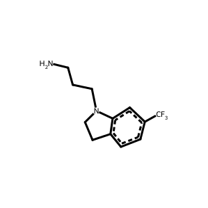 NCCCN1CCc2ccc(C(F)(F)F)cc21